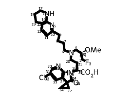 CO[C@H](CF)CN(CCCCc1ccc2c(n1)NCCC2)CC[C@H](NC(=O)C1(c2cncc(Cl)c2)CC1)C(=O)O